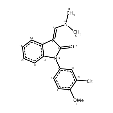 COc1ccc(N2C(=O)C(=CN(C)C)c3ccccc32)cc1Cl